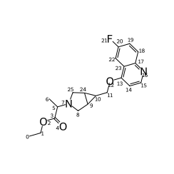 CCOC(=O)C(C)N1CC2C(COc3ccnc4ccc(F)cc34)C2C1